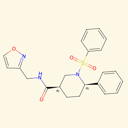 O=C(NCc1ccon1)[C@@H]1CC[C@H](c2ccccc2)N(S(=O)(=O)c2ccccc2)C1